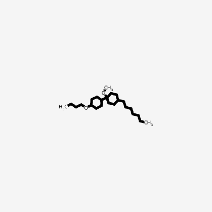 CCCCCCCC1CCC(OC)(C2CCC(OCCCC)CC2)CC1